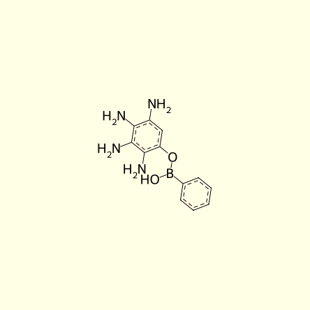 Nc1cc(OB(O)c2ccccc2)c(N)c(N)c1N